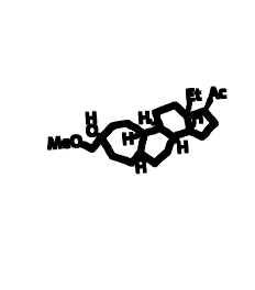 CC[C@]12CC[C@H]3[C@@H](CC[C@@H]4CC[C@@](O)(COC)CC[C@@H]43)[C@@H]1CC[C@@H]2C(C)=O